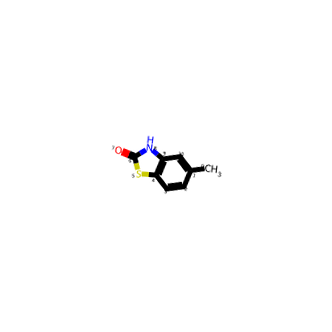 Cc1[c]cc2sc(=O)[nH]c2c1